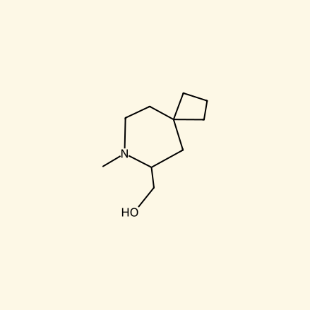 CN1CCC2(CCC2)CC1CO